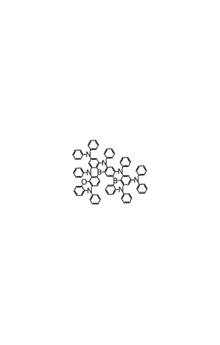 c1ccc(N(c2ccccc2)c2cc3c4c(c2)N(c2ccccc2)c2cc5c(cc2B4c2ccccc2N3c2ccccc2)B2c3ccc4c(c3N(c3ccccc3)c3cc(N(c6ccccc6)c6ccccc6)cc(c32)N5c2ccccc2)Oc2ccccc2N4c2ccccc2)cc1